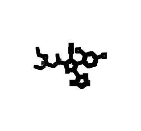 CCO[C@@H](CC)CN(C)c1sc(-c2nnc[nH]2)c(-c2ccc(Cl)cc2Cl)c1C#N